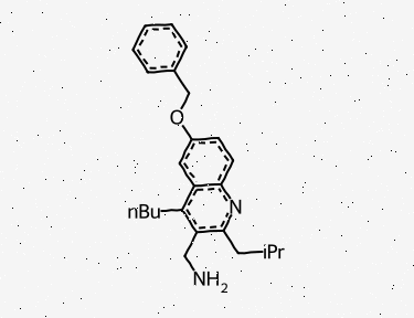 CCCCc1c(CN)c(CC(C)C)nc2ccc(OCc3ccccc3)cc12